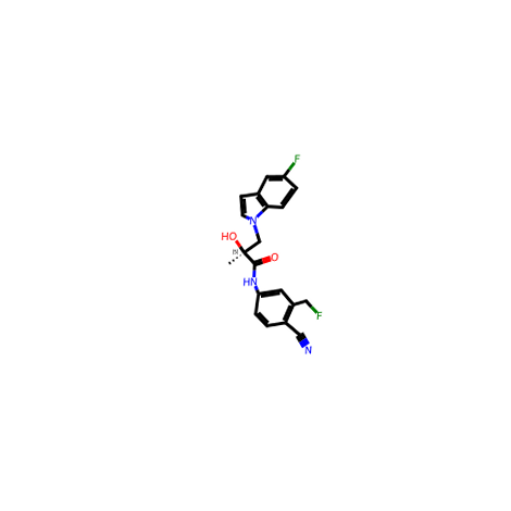 C[C@](O)(Cn1ccc2cc(F)ccc21)C(=O)Nc1ccc(C#N)c(CF)c1